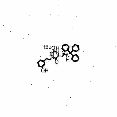 CC(C)(C)OC(=O)N[C@H](CC(=O)NC(c1ccccc1)(c1ccccc1)c1ccccc1)C(=O)NCCc1cccc(O)c1